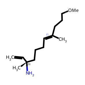 C=C[C@@](C)(N)CCC/C=C(\C)CCCOC